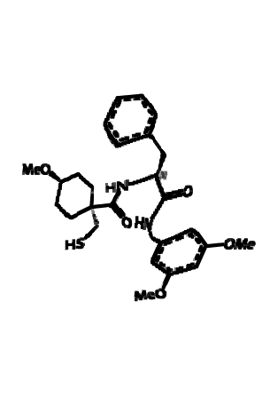 COc1cc(NC(=O)[C@H](Cc2ccccc2)NC(=O)[C@]2(CS)CC[C@H](OC)CC2)cc(OC)c1